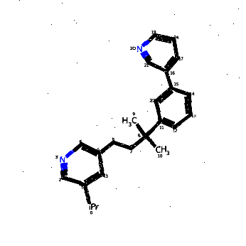 CC(C)c1cncc(CCC(C)(C)c2cccc(-c3cccnc3)c2)c1